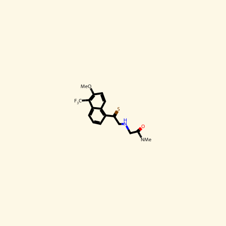 CNC(=O)CNCC(=S)c1cccc2c(C(F)(F)F)c(OC)ccc12